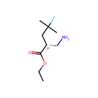 CCOC(=O)[C@@H](CN)CC(C)(C)F